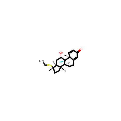 CC(=O)OCS[C@@]1(C)CC[C@H]2[C@@H]3CCC4=CC(=O)C=C[C@]4(C)[C@@]3(F)[C@@H](O)C[C@@]21C